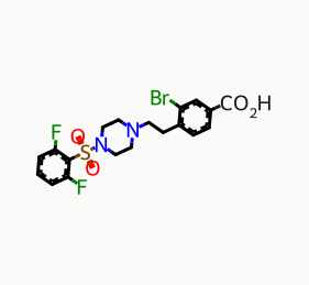 O=C(O)c1ccc(CCN2CCN(S(=O)(=O)c3c(F)cccc3F)CC2)c(Br)c1